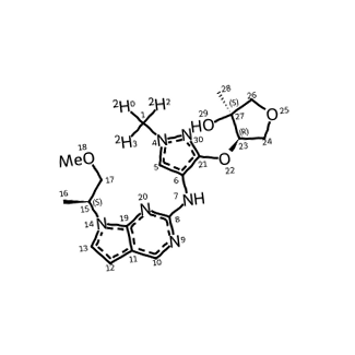 [2H]C([2H])([2H])n1cc(Nc2ncc3ccn([C@@H](C)COC)c3n2)c(O[C@@H]2COC[C@]2(C)O)n1